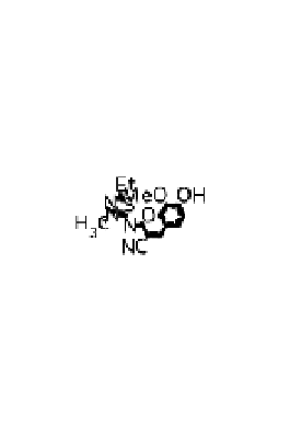 CCc1nn(C)c(=NC(=O)C(C#N)=Cc2ccc(O)c(OC)c2)s1